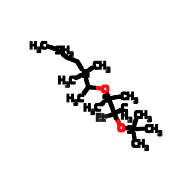 CCC(C)(O[Si](C)(C)C)[Si](C)(C)OC(C)[Si](C)(C)CC[SiH2]C